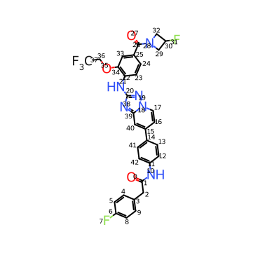 O=C(Cc1ccc(F)cc1)Nc1ccc(-c2ccn3nc(Nc4ccc(C(=O)N5CC(F)C5)cc4OCC(F)(F)F)nc3c2)cc1